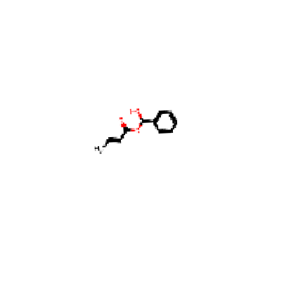 CC=CC(=O)OC(O)c1ccccc1